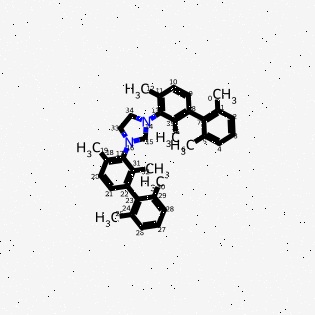 Cc1cccc(C)c1-c1ccc(C)c(N2[C]N(c3c(C)ccc(-c4c(C)cccc4C)c3C)CC2)c1C